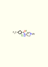 CC(C)N1CC[C@H](NC(=O)c2ccc(C(F)(F)F)cc2Cl)[C@H](F)C1